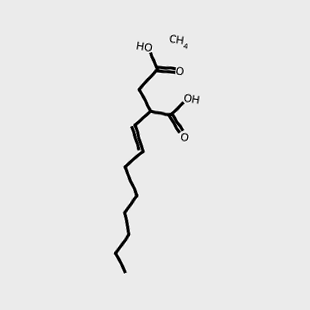 C.CCCCCCC=CC(CC(=O)O)C(=O)O